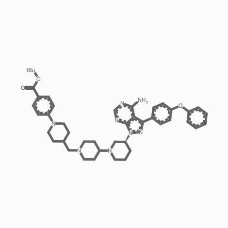 CC(C)(C)OC(=O)c1ccc(N2CCC(CN3CCC(N4CCC[C@H](n5nc(-c6ccc(Oc7ccccc7)cc6)c6c(N)ncnc65)C4)CC3)CC2)cc1